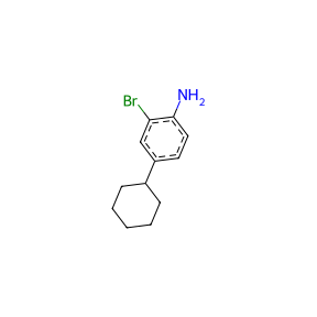 Nc1ccc(C2CCCCC2)cc1Br